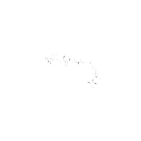 CCCC(C)C(=O)[C@H](CCCNC(N)=O)NC(=O)CNC(=S)NCCC(C)(C)OCCC(C)(C)C(=O)ON1C(=O)CCC1=O